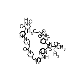 CCCS(=O)(=O)Nc1cccc(-c2nc(C(C)(C)C)sc2-c2ccnc(Nc3cnn(CC4CCN(C(=O)CN5CCN(c6cc([C@@H]7CCC(=O)NC7=O)ccn6)CC5)CC4)c3)n2)c1F